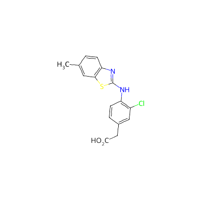 Cc1ccc2nc(Nc3ccc(CC(=O)O)cc3Cl)sc2c1